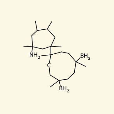 BC1(C)CCC(B)(C)CCC(C)(C2(C)CC(C)C(C)CC(C)(N)C2)CC1